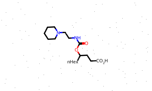 CCCCCCC(CCC(=O)O)OC(=O)NCCN1CCCCC1